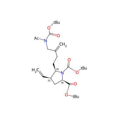 C=C[C@@H]1C[C@H](C(=O)OC(C)(C)C)N(C(=O)OC(C)(C)C)[C@@H]1CCC(=C)CN(C(C)=O)C(=O)OC(C)(C)C